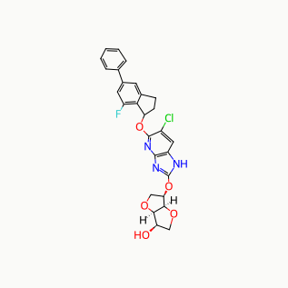 O[C@@H]1CO[C@H]2[C@@H]1OC[C@H]2Oc1nc2nc(OC3CCc4cc(-c5ccccc5)cc(F)c43)c(Cl)cc2[nH]1